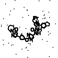 CC(C)Cc1cc(NC(=O)Nc2cnc(Oc3ccc(-c4cnc(N5CCCCCC5=O)s4)cc3)nc2)n(-c2ccc3c(c2)CCC3)n1